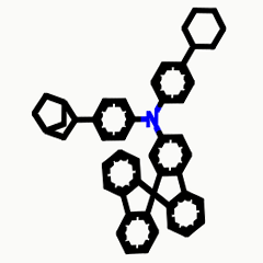 c1ccc2c(c1)-c1ccccc1C21c2ccccc2-c2ccc(N(c3ccc(C4CCCCC4)cc3)c3ccc(C4CC5CCC4C5)cc3)cc21